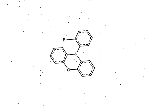 Brc1ccccc1N1c2ccccc2Oc2ccccc21